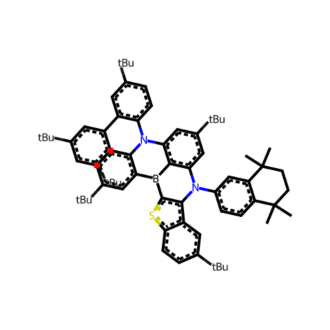 CC(C)(C)c1cc(-c2cc(C(C)(C)C)ccc2N2c3ccc(C(C)(C)C)cc3B3c4sc5ccc(C(C)(C)C)cc5c4N(c4ccc5c(c4)C(C)(C)CCC5(C)C)c4cc(C(C)(C)C)cc2c43)cc(C(C)(C)C)c1